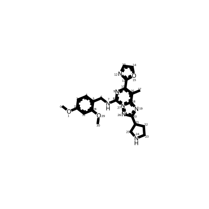 COc1ccc(CNc2nc(-c3ncco3)c(C)c3nc(C4CCNC4)nn23)c(OC)c1